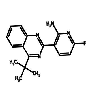 CC(C)(C)c1nc(-c2ccc(F)nc2N)nc2ccccc12